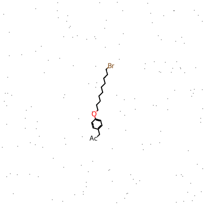 CC(=O)Cc1ccc(OCCCCCCCCCCBr)cc1